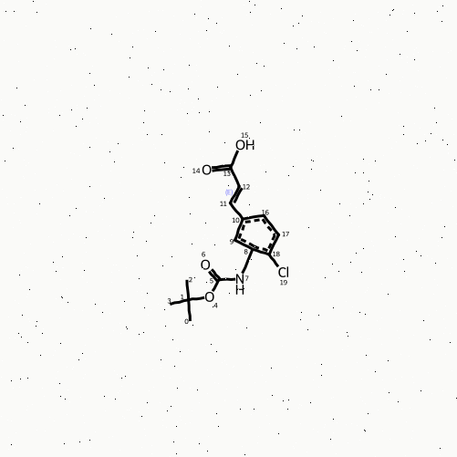 CC(C)(C)OC(=O)Nc1cc(/C=C/C(=O)O)ccc1Cl